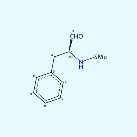 CSN[C@H](C=O)Cc1ccccc1